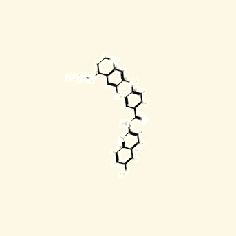 O=C(O)OC1CCOc2cc(Oc3ccc(C(=O)Nc4ccc5cc(F)ccc5n4)cc3)c(Cl)cc21